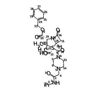 CC(C)NC(=O)CN1CCN(C(=O)[S@]2(CO)[C@@H]3CC(=O)N3[C@@H](C(=O)OCc3ccccc3)C2(C)C)CC1